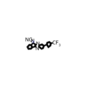 N#C/N=C1\c2ccccc2-c2nc3ccc(-c4ccc(C(F)(F)F)cc4)cc3nc21